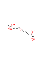 CC(O)C(O)CCCCOCCCCC(O)C(C)O